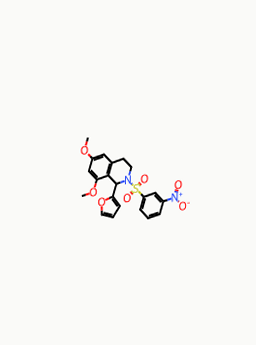 COc1cc2c(c(OC)c1)C(c1ccco1)N(S(=O)(=O)c1cccc([N+](=O)[O-])c1)CC2